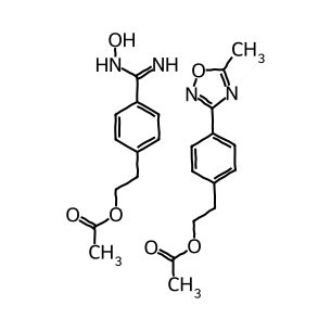 CC(=O)OCCc1ccc(-c2noc(C)n2)cc1.CC(=O)OCCc1ccc(C(=N)NO)cc1